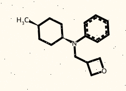 C[C@H]1CC[C@@H](N(CC2COC2)c2ccccc2)CC1